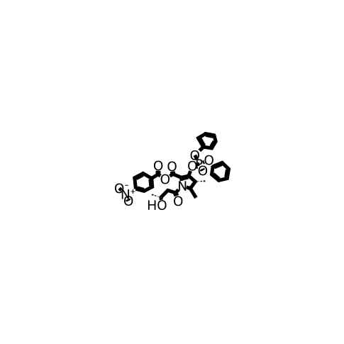 CC1[C@@H](C)C(OP(=O)(Oc2ccccc2)Oc2ccccc2)=C(C(=O)OC(=O)c2ccc([N+](=O)[O-])cc2)N1C(=O)C[C@@H](C)O